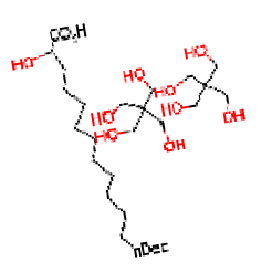 CCCCCCCCCCCCCCCCCCCCC(O)C(=O)O.OCC(CO)(CO)CO.OCC(CO)(CO)CO